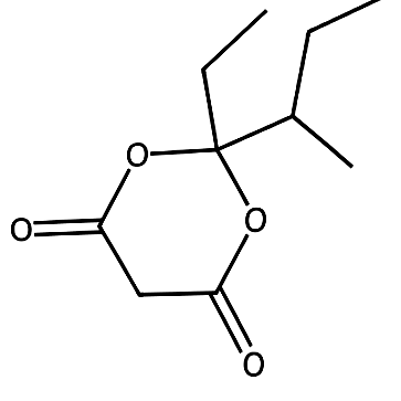 CCC(C)C1(CC)OC(=O)CC(=O)O1